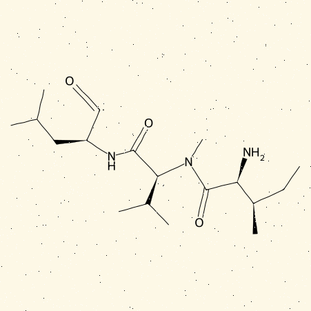 CC[C@@H](C)[C@H](N)C(=O)N(C)[C@H](C(=O)N[C@H]([C]=O)CC(C)C)C(C)C